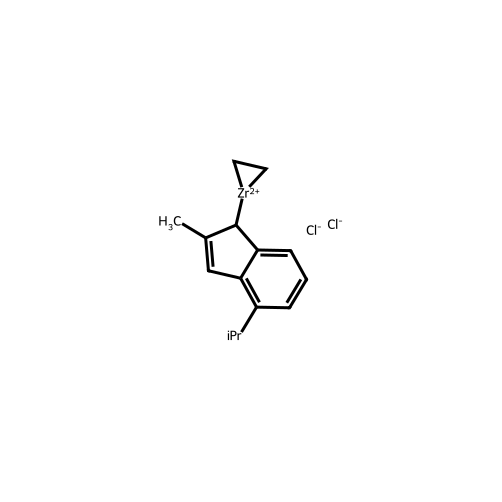 CC1=Cc2c(C(C)C)cccc2[CH]1[Zr+2]1[CH2][CH2]1.[Cl-].[Cl-]